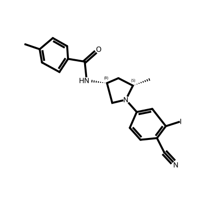 Cc1ccc(C(=O)N[C@@H]2C[C@H](C)N(c3ccc(C#N)c(I)c3)C2)cc1